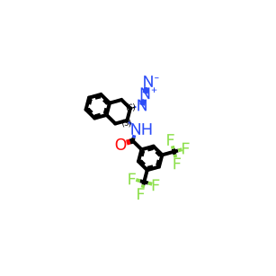 [N-]=[N+]=N[C@H]1Cc2ccccc2C[C@@H]1NC(=O)c1cc(C(F)(F)F)cc(C(F)(F)F)c1